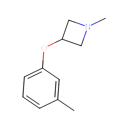 Cc1cccc(OC2CN(C)C2)c1